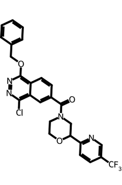 O=C(c1ccc2c(OCc3ccccc3)nnc(Cl)c2c1)N1CCOC(c2ccc(C(F)(F)F)cn2)C1